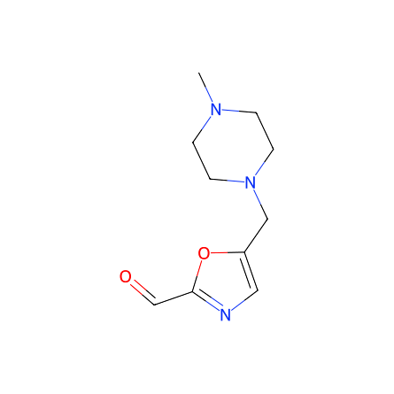 CN1CCN(Cc2cnc(C=O)o2)CC1